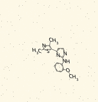 COc1ccccc1Nc1nccc(-c2sc(C)nc2C)n1